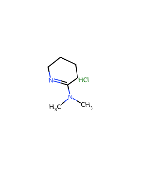 CN(C)C1=NCCCC1.Cl